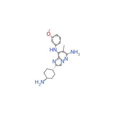 COc1cccc(Nc2c(C)c(N)nn3cc([C@H]4CC[C@H](N)CC4)nc23)c1